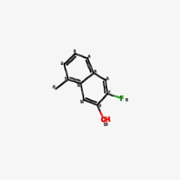 Cc1cccc2cc(F)c(O)cc12